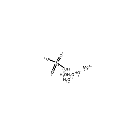 O.O.O.O=S(=O)([O-])O.[Mg+2].[OH-]